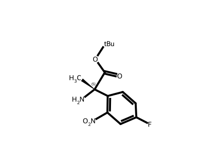 CC(C)(C)OC(=O)[C@@](C)(N)c1ccc(F)cc1[N+](=O)[O-]